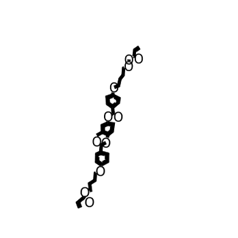 C=CC(=O)OCCCCOc1ccc(C(=O)Oc2ccc(OC(=O)c3ccc(OCCCCOOC(=O)C=C)cc3)cc2C)cc1